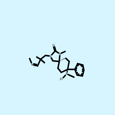 CCN(C)[C@]1(c2ccccc2)CC[C@]2(CC1)CN(CC(C)(C)/C=N\C)C(=O)N2C